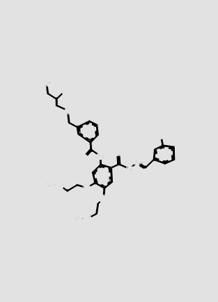 COCCOc1cc(NC(=O)c2cccc(CSCC(O)CO)c2)c(C(=O)N/N=C/c2cccc(F)c2)cc1OCCOC